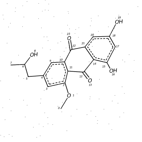 COc1cc(CC(C)O)cc2c1C(=O)c1c(O)cc(O)cc1C2=O